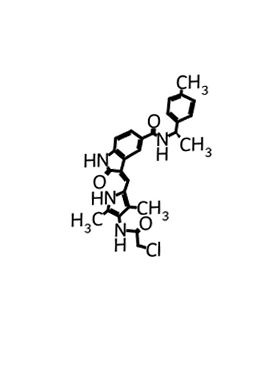 Cc1ccc([C@@H](C)NC(=O)c2ccc3c(c2)/C(=C/c2[nH]c(C)c(NC(=O)CCl)c2C)C(=O)N3)cc1